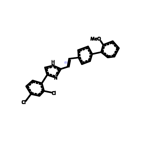 COc1ccccc1-c1ccc(/C=C/c2nc(-c3ccc(Cl)cc3Cl)c[nH]2)cc1